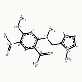 CNc1nc(N(C)Cc2nccn2C)c(C(=O)O)cc1[N+](=O)[O-]